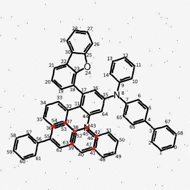 c1ccc(-c2ccc(N(c3ccccc3)c3cc(-c4cccc5c4oc4ccccc45)c(-c4ccccc4-c4ccccc4)c(N(c4ccccc4)c4ccc(-c5ccccc5)cc4)c3)cc2)cc1